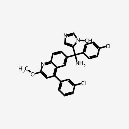 COc1cc(-c2cccc(Cl)c2)c2cc(C(N)(c3ccc(Cl)cc3)c3cncn3C)ccc2n1